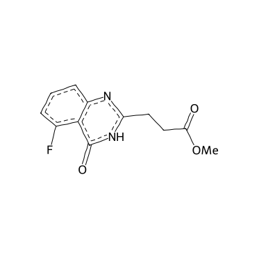 COC(=O)CCc1nc2cccc(F)c2c(=O)[nH]1